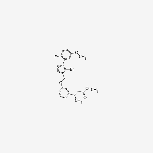 COC(=O)C[C@@H](C)c1cccc(OCc2csc(-c3cc(OC)ccc3F)c2Br)c1